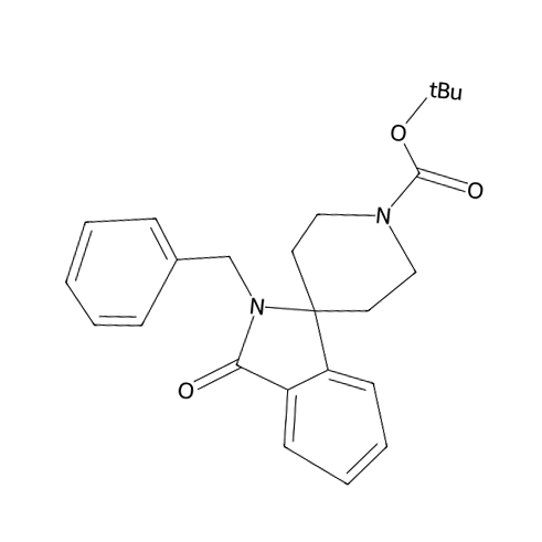 CC(C)(C)OC(=O)N1CCC2(CC1)c1ccccc1C(=O)N2Cc1ccccc1